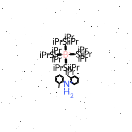 CC(C)[Si](C#C[B-](C#C[Si](C(C)C)(C(C)C)C(C)C)(C#C[Si](C(C)C)(C(C)C)C(C)C)C#C[Si](C(C)C)(C(C)C)C(C)C)(C(C)C)C(C)C.Cc1ccccc1[NH2+]c1ccccc1C